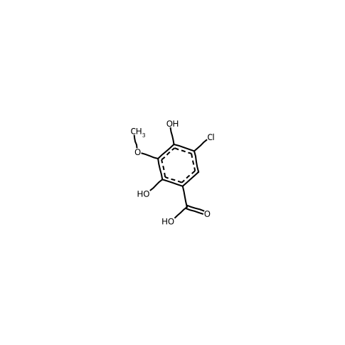 COc1c(O)c(Cl)cc(C(=O)O)c1O